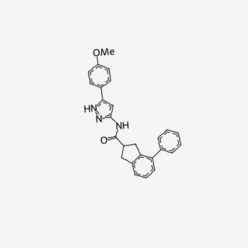 COc1ccc(-c2cc(NC(=O)C3Cc4cccc(-c5ccccc5)c4C3)n[nH]2)cc1